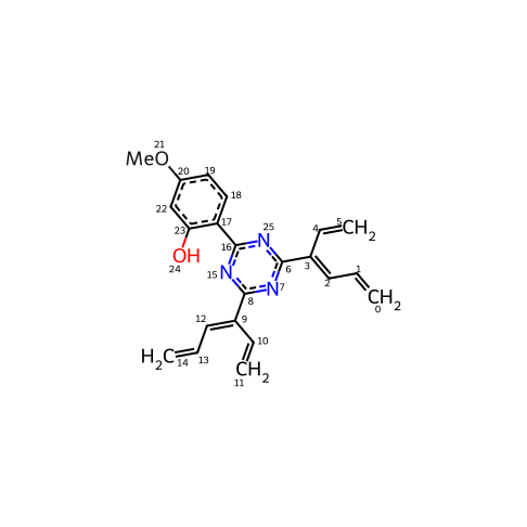 C=C/C=C(\C=C)c1nc(/C(C=C)=C/C=C)nc(-c2ccc(OC)cc2O)n1